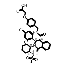 CS(=O)(=O)N[C@H]1CCCC[C@@H]1N1C(=O)c2ccccc2[C@@H](C(=O)NCc2ccc(OCC(=O)O)cc2)[C@@H]1c1ccc(Cl)cc1Cl